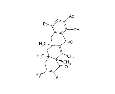 CCc1cc(C(C)=O)c(O)c2c1CC1(C)CC3(C)CC(C)=C(C(C)=O)C(=O)[C@@]3(C)C(C)=C1C2=O